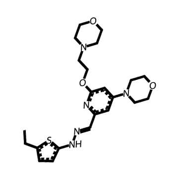 CCc1ccc(NN=Cc2cc(N3CCOCC3)cc(OCCN3CCOCC3)n2)s1